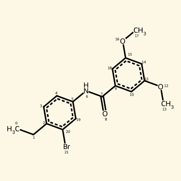 CCc1ccc(NC(=O)c2cc(OC)cc(OC)c2)cc1Br